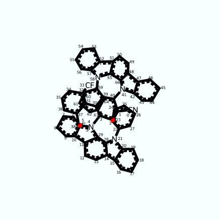 N#Cc1cc(-n2c3ccccc3c3ccc4c5ccccc5n(-c5ccccc5)c4c32)c(-c2c(C(F)(F)F)cccc2C(F)(F)F)cc1-n1c2ccccc2c2ccc3c4ccccc4n(-c4ccccc4)c3c21